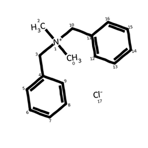 C[N+](C)(Cc1ccccc1)Cc1ccccc1.[Cl-]